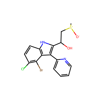 C[S+]([O-])CC(O)c1[nH]c2ccc(Cl)c(Br)c2c1-c1ccccn1